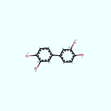 Brc1ccc(-c2ccc(Br)c(Br)c2)cc1Br